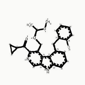 COC(C)OCc1c(C(=O)C2CC2)ncc2[nH]c3cccc(Cc4ccccc4Cl)c3c12